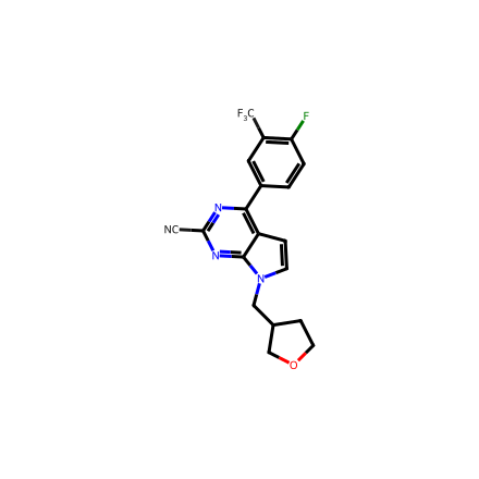 N#Cc1nc(-c2ccc(F)c(C(F)(F)F)c2)c2ccn(CC3CCOC3)c2n1